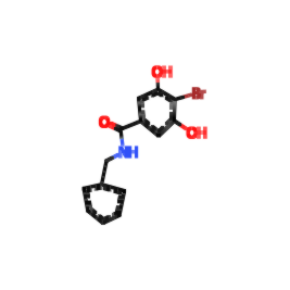 O=C(NCc1ccccc1)c1cc(O)c(Br)c(O)c1